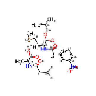 COC(=O)[C@H](C)NC(=O)CC1CC1.CSCC[C@H](NC(=O)Cc1cccc([N+](=O)[O-])c1)C(=O)OCC(C)C